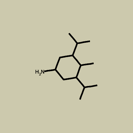 CC(C)C1CC(N)CC(C(C)C)C1C